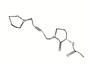 CC(=O)O[C@H]1CCN(CC#CCN2CCCC2)C1=O